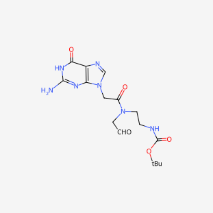 CC(C)(C)OC(=O)NCCN(CC=O)C(=O)Cn1cnc2c(=O)[nH]c(N)nc21